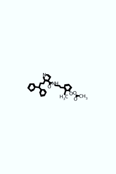 CCc1c(CCCNC(=O)c2ccncc2CCC(c2ccccc2)c2ccccc2)cccc1OOC(C)=O